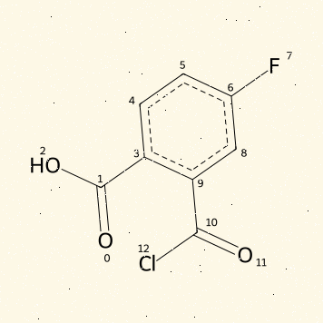 O=C(O)c1ccc(F)cc1C(=O)Cl